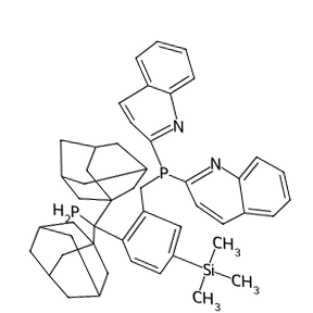 C[Si](C)(C)c1ccc(C(P)(C23CC4CC(CC(C4)C2)C3)C23CC4CC(CC(C4)C2)C3)c(CP(c2ccc3ccccc3n2)c2ccc3ccccc3n2)c1